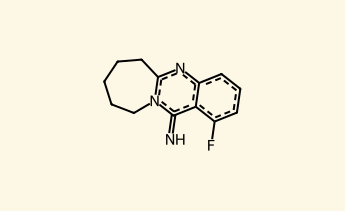 N=c1c2c(F)cccc2nc2n1CCCCC2